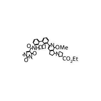 CCOC(=O)[C@H]1CCN([C@H]2CCc3cc(-c4cccc(-c5cccc(NC(=O)c6cn(C)c(=O)n(C)c6=O)c5Cl)c4Cl)nc(OC)c32)C1